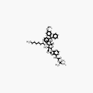 C#CC1(O)C(n2cnc3c(NC(=O)OC(C)(C)C)ncnc32)OC(F)(COC(c2ccccc2)(c2ccccc2)c2ccc(OC)cc2)C1[C@H](CCCCCCCC)C(=O)O